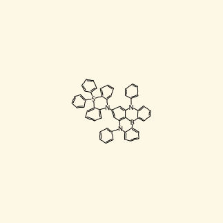 c1ccc(N2c3ccccc3B3c4ccccc4N(c4ccccc4)c4cc(N5c6ccccc6S(c6ccccc6)(c6ccccc6)c6ccccc65)cc2c43)cc1